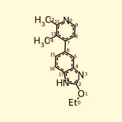 CCOc1nc2cc(-c3ccnc(C)c3C)ccc2[nH]1